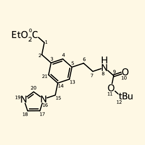 CCOC(=O)CCc1cc(CCNC(=O)OC(C)(C)C)cc(Cn2ccnc2)c1